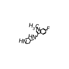 Cn1cc(CNCC2CCNCC2)c2ccc(F)cc21